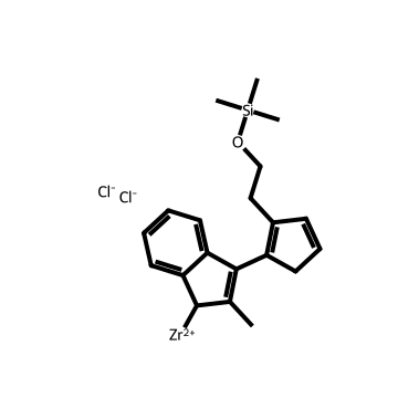 CC1=C(C2=C(CCO[Si](C)(C)C)C=CC2)c2ccccc2[CH]1[Zr+2].[Cl-].[Cl-]